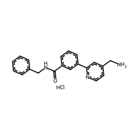 Cl.NCc1ccnc(-c2cccc(C(=O)NCc3ccccc3)c2)c1